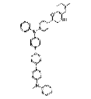 CC1=CC2=C(CC1)OC(c1ccc(N(c3ccccc3)c3ccc(-c4ccc(-c5ccc(N(C)c6ccccc6)cc5)cc4)cc3)cc1)CN2